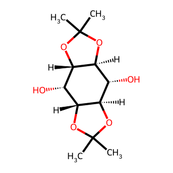 CC1(C)O[C@@H]2[C@@H](O)[C@@H]3OC(C)(C)O[C@H]3[C@@H](O)[C@H]2O1